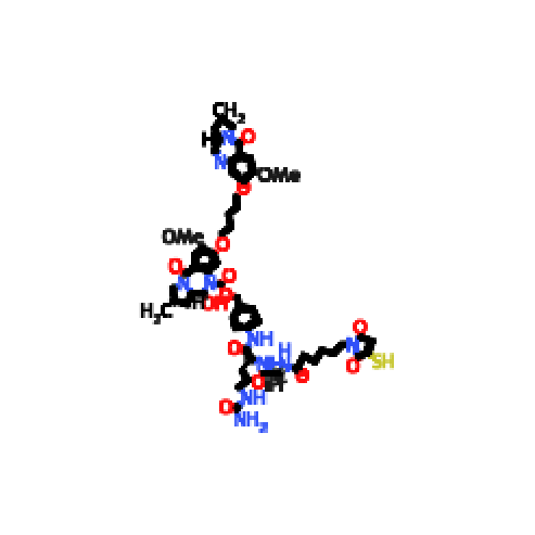 C=C1C[C@H]2C=Nc3cc(OCCCCCOc4cc5c(cc4OC)C(=O)N4CC(=C)C[C@H]4[C@H](O)N5C(=O)OCc4ccc(NC(=O)[C@H](CCCNC(N)=O)NC(=O)[C@@H](NC(=O)CCCCCN5C(=O)C=C(S)C5=O)C(C)C)cc4)c(OC)cc3C(=O)N2C1